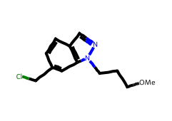 COCCCn1ncc2ccc(CCl)cc21